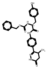 CC1CC(=O)NN=C1c1ccc(NC(=O)[C@H](Cc2ccc(O)cc2)NC(=O)OCc2ccccc2)cc1